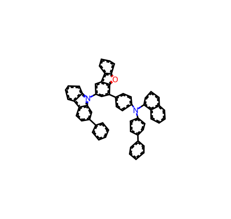 c1ccc(-c2ccc(N(c3ccc(-c4cc(-n5c6ccccc6c6ccc(-c7ccccc7)cc65)cc5c4oc4ccccc45)cc3)c3cccc4ccccc34)cc2)cc1